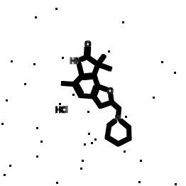 Cc1cc2c(c3c1NC(=O)C3(C)C)OC(CN1CCCCC1)C2.Cl